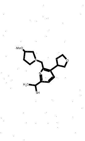 COC1CCN(Cc2nc(C(C)S)ccc2C2CCOC2)C1